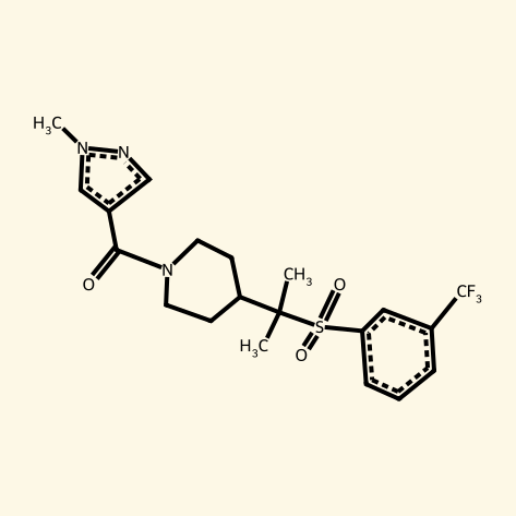 Cn1cc(C(=O)N2CCC(C(C)(C)S(=O)(=O)c3cccc(C(F)(F)F)c3)CC2)cn1